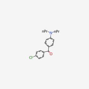 CCCN(CCC)c1ccc(C(=O)c2ccc(Cl)cc2)cc1